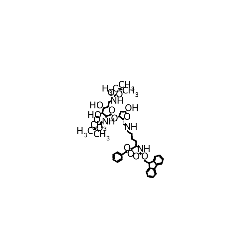 CC(C)(C)OC(=O)NCC1O[C@H](OC2C[C@H](O)O[C@@H]2CNCCCCC(NC(=O)OCC2c3ccccc3-c3ccccc32)C2OC(c3ccccc3)O2)C(NC(=O)OC(C)(C)C)C(O)[C@@H]1O